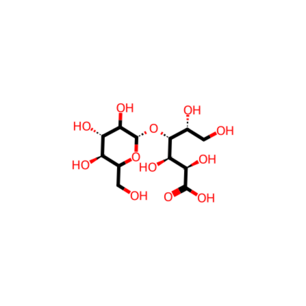 O=C(O)[C@H](O)[C@@H](O)[C@H](O[C@@H]1OC(CO)[C@@H](O)[C@H](O)C1O)[C@H](O)CO